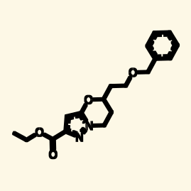 CCOC(=O)c1cc2n(n1)CCC(CCOCc1ccccc1)O2